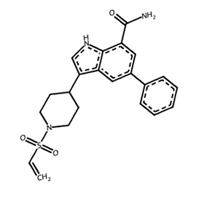 C=CS(=O)(=O)N1CCC(c2c[nH]c3c(C(N)=O)cc(-c4ccccc4)cc23)CC1